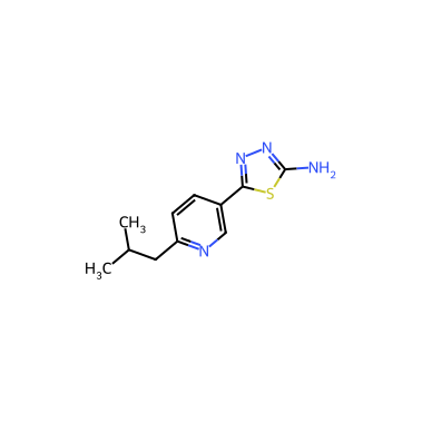 CC(C)Cc1ccc(-c2nnc(N)s2)cn1